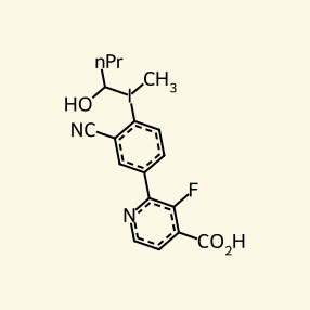 CCCC(O)I(C)c1ccc(-c2nccc(C(=O)O)c2F)cc1C#N